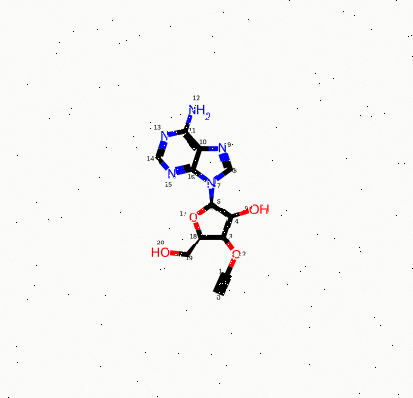 C#COC1C(O)[C@H](n2cnc3c(N)ncnc32)O[C@@H]1CO